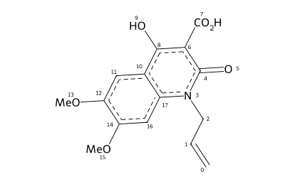 C=CCn1c(=O)c(C(=O)O)c(O)c2cc(OC)c(OC)cc21